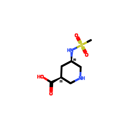 CS(=O)(=O)N[C@H]1CNC[C@@H](C(=O)O)C1